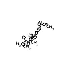 CSc1ccc(-c2ncccc2CN2CCN(c3ccc(C(=O)NS(=O)(=O)c4ccc(N[C@H](CCN(C)C)CSc5ccccc5)c(C)c4)cc3)CC2)cc1